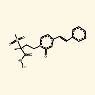 C[C@@](CCn1ccc(/C=C/c2ccccc2)cc1=O)(C(=O)NO)S(C)(=O)=O